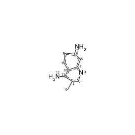 Cc1cnc2cc(N)ccc2c1N